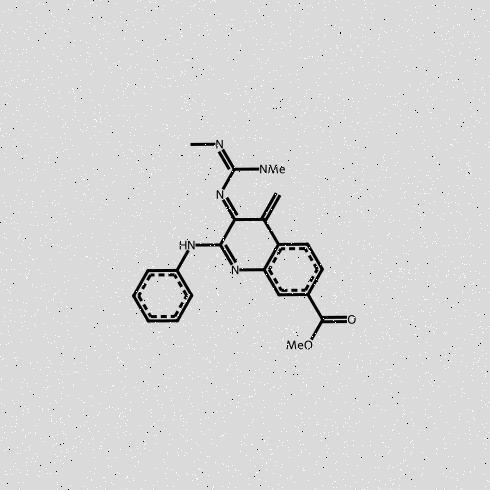 C=C1/C(=N\C(=N/C)NC)C(Nc2ccccc2)=Nc2cc(C(=O)OC)ccc21